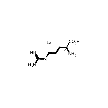 N=C(N)NCCC[C@H](N)C(=O)O.[La]